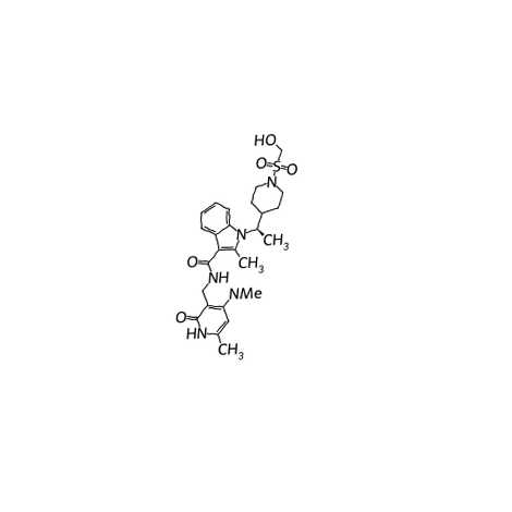 CNc1cc(C)[nH]c(=O)c1CNC(=O)c1c(C)n([C@H](C)C2CCN(S(=O)(=O)CO)CC2)c2ccccc12